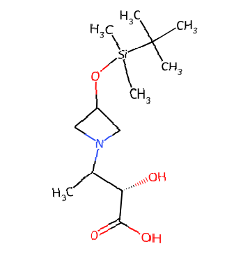 CC([C@H](O)C(=O)O)N1CC(O[Si](C)(C)C(C)(C)C)C1